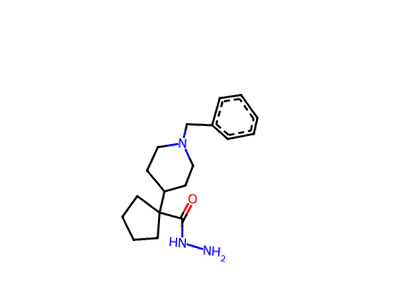 NNC(=O)C1(C2CCN(Cc3ccccc3)CC2)CCCC1